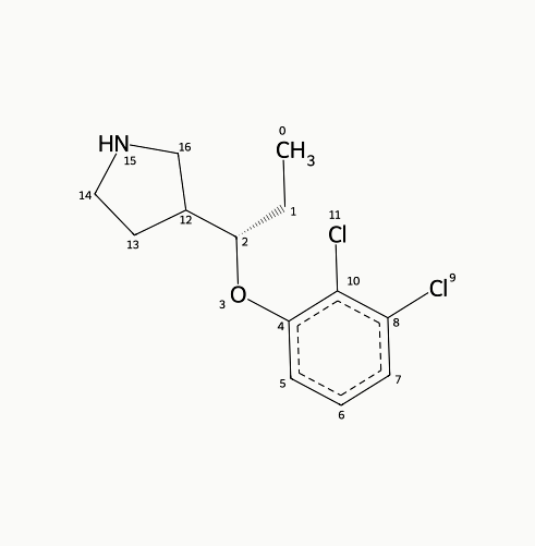 CC[C@H](Oc1cccc(Cl)c1Cl)C1CCNC1